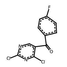 O=C(c1ccc(F)cc1)c1cnc(Cl)nc1Cl